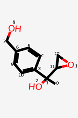 CC(O)(c1ccc(CO)cc1)C1CO1